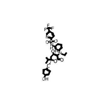 CCN(C1=C(O)C[C@](CCc2ccc(O)cc2)(C(C)C)OC1=O)c1cccc(NS(=O)(=O)c2ccc(C(F)(F)F)cn2)c1